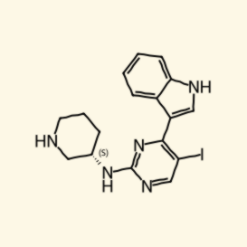 Ic1cnc(N[C@H]2CCCNC2)nc1-c1c[nH]c2ccccc12